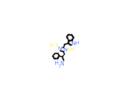 N/C=C(/Cc1cnc(Cc2c[nH]c3ccccc23)n1S)c1ccccc1.S